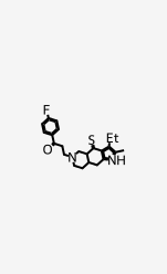 CCc1c(C)[nH]c2c1C(=S)C1CN(CCC(=O)c3ccc(F)cc3)CCC1C2